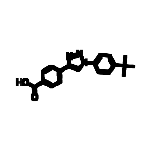 CC(C)(C)c1ccc(-n2cc(-c3ccc(C(=O)O)cc3)nn2)cc1